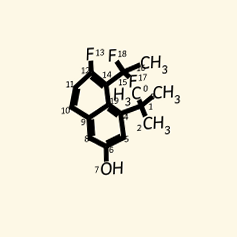 CC(C)(C)c1cc(O)cc2ccc(F)c(C(C)(F)F)c12